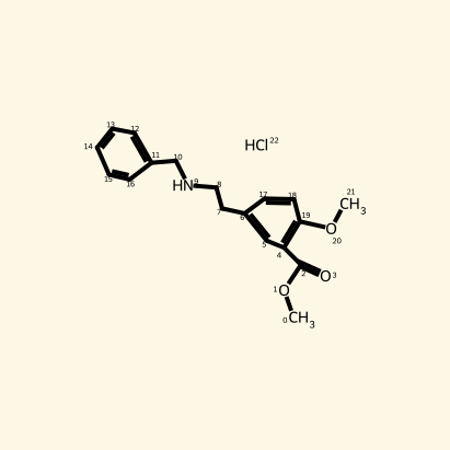 COC(=O)c1cc(CCNCc2ccccc2)ccc1OC.Cl